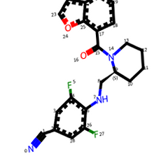 N#Cc1cc(F)c(NC[C@@H]2CCCCN2C(=O)c2cccc3ccoc23)c(F)c1